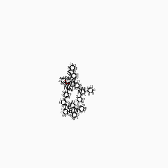 c1ccc(-c2cc(-c3ccccc3)nc(-c3ccc(-n4c5ccccc5c5c6sc7ccccc7c6ccc54)c(-c4nc(-c5ccccc5)nc(-c5ccc(-c6cccc(N7c8ccccc8B8c9ccccc9N(c9ccccc9)c9cccc7c98)c6)cc5)n4)c3)n2)cc1